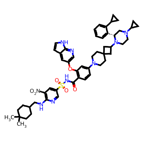 CC1(C)CCC(CNc2ncc(S(=O)(=O)NC(=O)c3ccc(N4CCC5(CC4)CC(N4CCN(C6CC6)C[C@H]4c4ccccc4C4CC4)C5)cc3Oc3cnc4[nH]ccc4c3)cc2[N+](=O)[O-])CC1